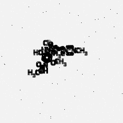 COC(=O)Nc1cc(O)c(NS(=O)(=O)CCC[N+]2(C)CCN(C)CC2)cc1OC.[Cl-]